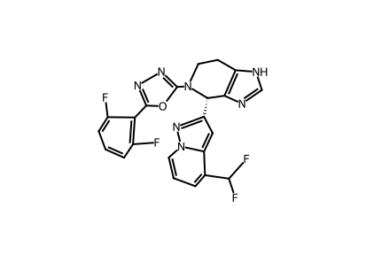 Fc1cccc(F)c1-c1nnc(N2CCc3[nH]cnc3[C@@H]2c2cc3c(C(F)F)cccn3n2)o1